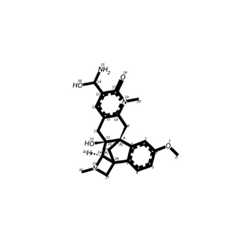 COc1ccc2c(c1)[C@@]13Cc4c(cc(C(N)O)c(=O)n4C)C[C@@]1(O)[C@@H]1N(C)CC21C3